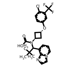 CC(C)(C)C(c1cccn2ccnc12)N(C(=O)O)[C@H]1C[C@H](Oc2ccc(Cl)c(C(F)(F)F)c2)C1